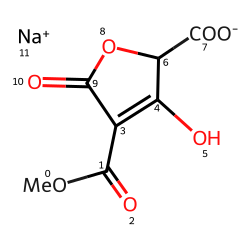 COC(=O)C1=C(O)C(C(=O)[O-])OC1=O.[Na+]